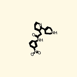 O=C(Cc1cccnc1C1=CCNCC1)Nc1cccc([N+](=O)[O-])c1